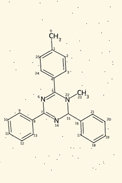 Cc1ccc(C2=NC(c3ccccc3)=NC(c3ccccc3)N2C)cc1